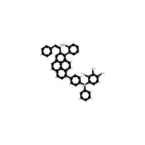 Cc1ccccc1-c1c(/C=C\c2ccccc2)cc2ccc3ccc(-c4ccc(N(c5ccccc5)c5ccc(F)c(F)c5F)cc4)c4ccc1c2c34